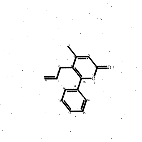 C=CCc1c(C)cc(=O)oc1-c1ccccc1